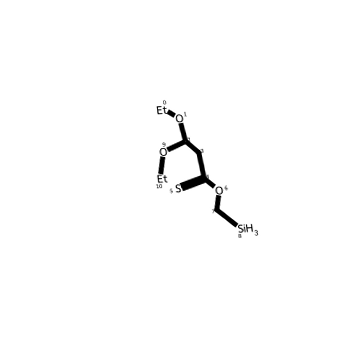 CCOC(CC(=S)OC[SiH3])OCC